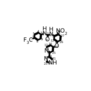 O=C(Nc1ccc(C(F)(F)F)cc1)Nc1cc(Oc2ccnc(-c3c[nH]cn3)c2)ccc1[N+](=O)[O-]